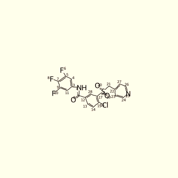 O=C(Nc1cc(F)c(F)c(F)c1)c1ccc(Cl)c(S(=O)(=O)Cc2ccncc2)c1